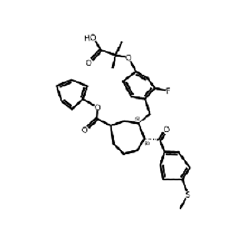 CSc1ccc(C(=O)[C@@H]2CCCC(C(=O)Oc3ccccc3)C[C@H]2Cc2ccc(OC(C)(C)C(=O)O)cc2F)cc1